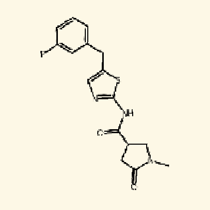 CN1CC(C(=O)Nc2ncc(Cc3cccc(F)c3)s2)CC1=O